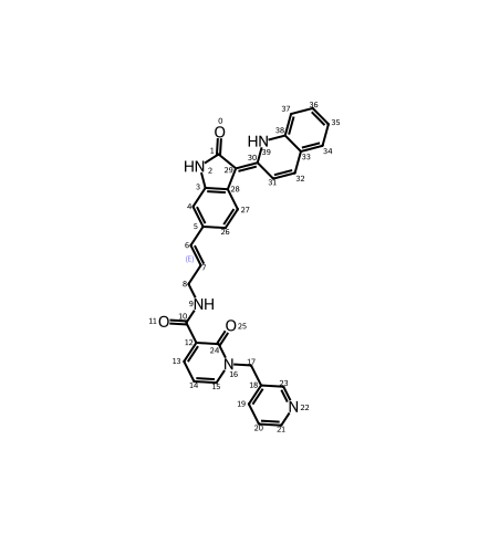 O=C1Nc2cc(/C=C/CNC(=O)c3cccn(Cc4cccnc4)c3=O)ccc2C1=C1C=Cc2ccccc2N1